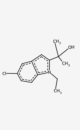 CCn1c(C(C)(C)O)cc2cc(Cl)ccc21